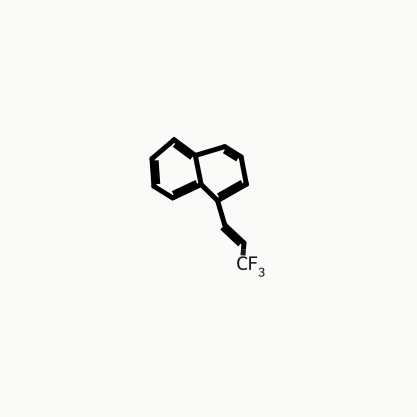 FC(F)(F)C=Cc1cccc2ccccc12